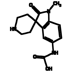 CN1C(=O)C2(CCNCC2)c2cc(NC(=O)O)ccc21